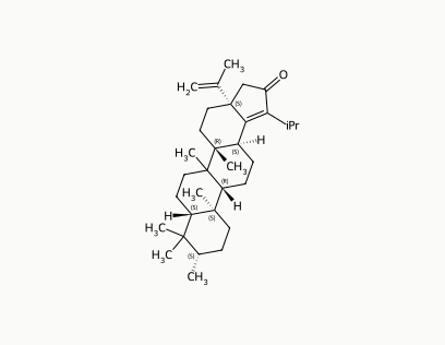 C=C(C)[C@@]12CC[C@]3(C)[C@H](CC[C@H]4C3(C)CC[C@H]3C(C)(C)[C@@H](C)CC[C@@]34C)C1=C(C(C)C)C(=O)C2